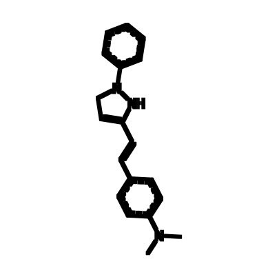 CN(C)c1ccc(C=CC2=CCN(c3ccccc3)N2)cc1